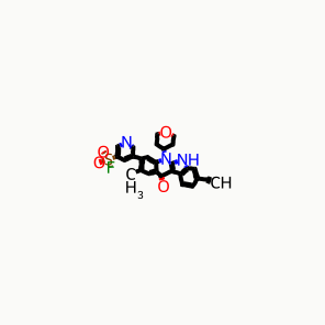 C#Cc1ccc2c(c1)[nH]c1c2c(=O)c2cc(C)c(-c3cncc(S(=O)(=O)F)c3)cc2n1C1CCOCC1